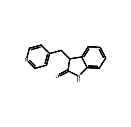 O=C1Nc2ccccc2C1Cc1ccncc1